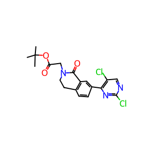 CC(C)(C)OC(=O)CN1CCc2ccc(-c3nc(Cl)ncc3Cl)cc2C1=O